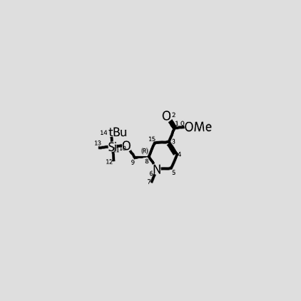 COC(=O)C1=CCN(C)[C@@H](CO[Si](C)(C)C(C)(C)C)C1